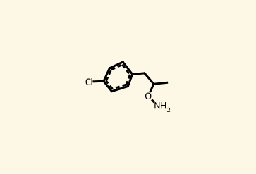 CC(Cc1ccc(Cl)cc1)ON